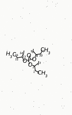 CCC(I)OP(=O)(OC(I)CC)OC(I)CC